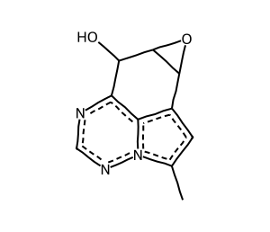 Cc1cc2c3c(ncnn13)C(O)C1OC21